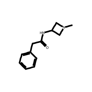 CN1CC(NC(=O)Cc2ccccc2)C1